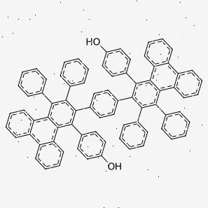 Oc1ccc(-c2c(-c3ccc(-c4c(-c5ccccc5)c(-c5ccccc5)c5c6ccccc6c6ccccc6c5c4-c4ccc(O)cc4)cc3)c(-c3ccccc3)c(-c3ccccc3)c3c4ccccc4c4ccccc4c23)cc1